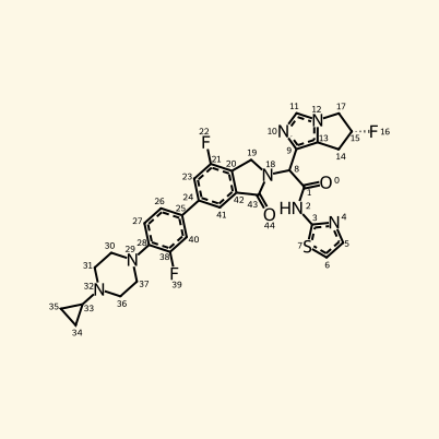 O=C(Nc1nccs1)C(c1ncn2c1C[C@@H](F)C2)N1Cc2c(F)cc(-c3ccc(N4CCN(C5CC5)CC4)c(F)c3)cc2C1=O